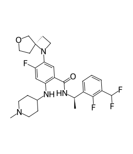 C[C@@H](NC(=O)c1cc(N2CC[C@@]23CCOC3)c(F)cc1NC1CCN(C)CC1)c1cccc(C(F)F)c1F